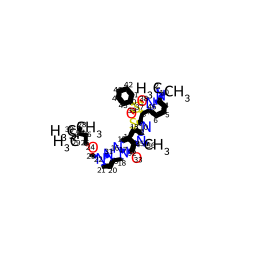 CN(C)c1cccc(C(c2nc3c(s2)c2cnn(Cc4ccn(COCC[Si](C)(C)C)n4)c(=O)c2n3C)S(=O)(=O)c2ccccc2)n1